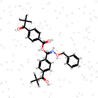 CC(C)(C)C(=O)c1ccc(C(=O)OC(=NOCc2ccccc2)c2ccc(C(=O)C(C)(C)C)cc2)cc1